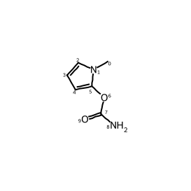 Cn1cccc1OC(N)=O